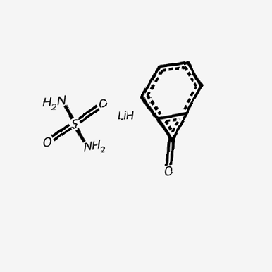 NS(N)(=O)=O.O=c1c2ccccc12.[LiH]